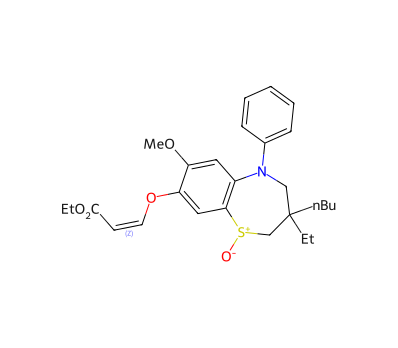 CCCCC1(CC)CN(c2ccccc2)c2cc(OC)c(O/C=C\C(=O)OCC)cc2[S+]([O-])C1